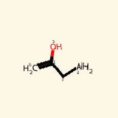 C=C(O)[CH2][AlH2]